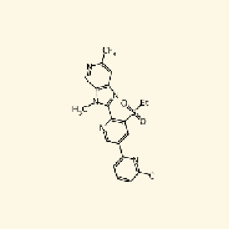 CCS(=O)(=O)c1cc(-c2cccc(Cl)n2)cnc1-c1nc2cc(C(F)(F)F)nnc2n1C